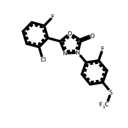 O=c1oc(-c2c(F)cccc2Cl)nn1-c1ccc(SC(F)(F)F)cc1F